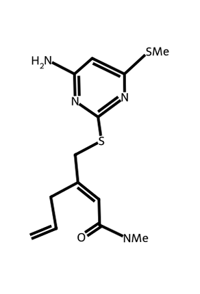 C=CCC(=CC(=O)NC)CSc1nc(N)cc(SC)n1